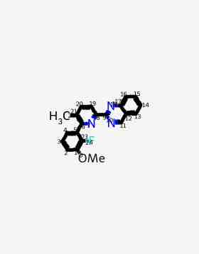 COc1cccc(-c2nc(-c3ncc4ccccc4n3)ccc2C)c1F